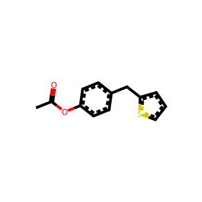 CC(=O)Oc1ccc(Cc2cccs2)cc1